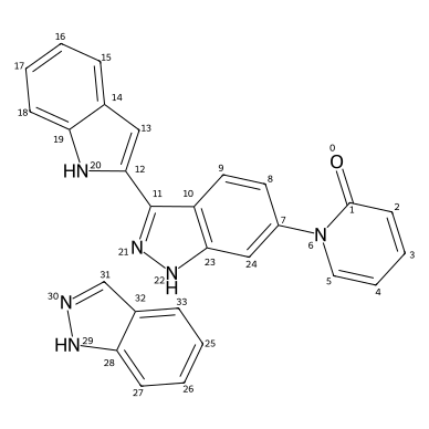 O=c1ccccn1-c1ccc2c(-c3cc4ccccc4[nH]3)n[nH]c2c1.c1ccc2[nH]ncc2c1